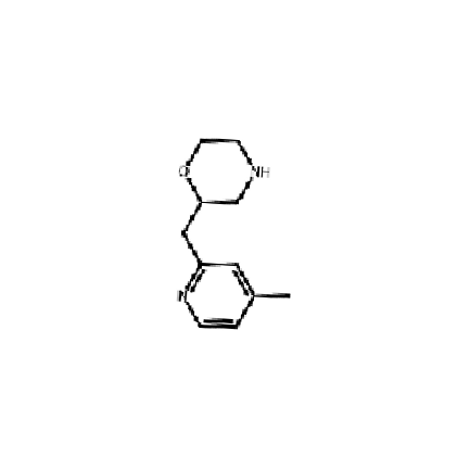 Cc1ccnc(CC2CNCCO2)c1